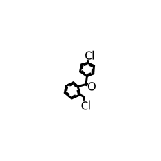 O=C(c1ccc(Cl)cc1)c1ccccc1CCl